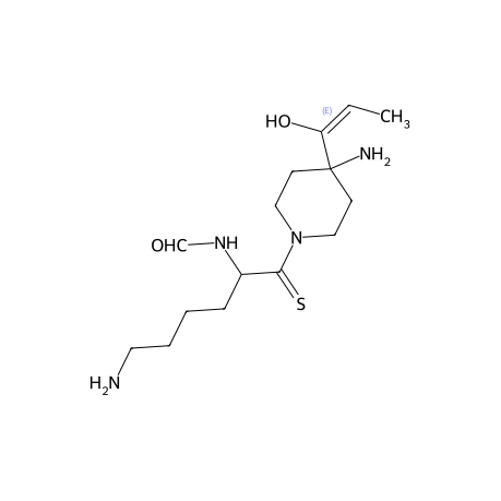 C/C=C(/O)C1(N)CCN(C(=S)C(CCCCN)NC=O)CC1